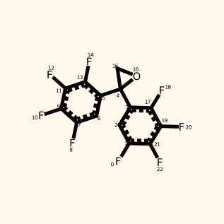 Fc1cc(C2(c3cc(F)c(F)c(F)c3F)CO2)c(F)c(F)c1F